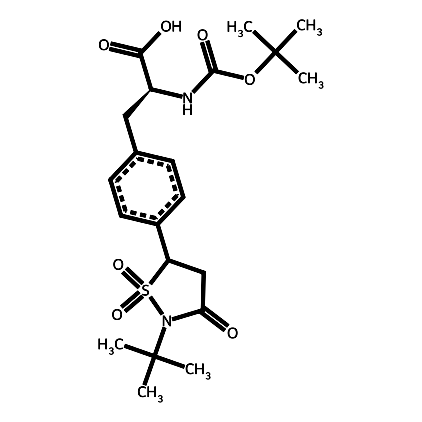 CC(C)(C)OC(=O)N[C@@H](Cc1ccc(C2CC(=O)N(C(C)(C)C)S2(=O)=O)cc1)C(=O)O